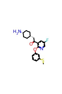 CSc1cccc(Oc2ncc(F)cc2C(=O)C[C@H]2CC[C@@H](N)CC2)c1